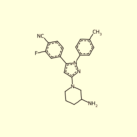 Cc1ccc(-n2nc(N3CCCC(N)C3)cc2-c2ccc(C#N)c(F)c2)cc1